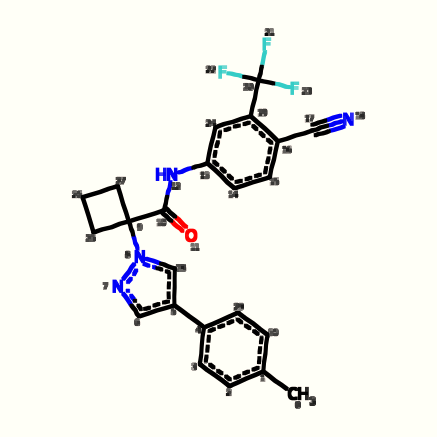 Cc1ccc(-c2cnn(C3(C(=O)Nc4ccc(C#N)c(C(F)(F)F)c4)CCC3)c2)cc1